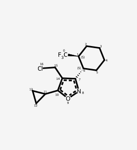 FC(F)(F)[C@H]1CCCC[C@@H]1c1noc(C2CC2)c1CCl